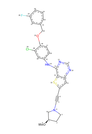 CO[C@@H]1CCN(C#Cc2cc3ncnc(Nc4ccc(OCc5cccc(F)c5)c(Cl)c4)c3s2)C1